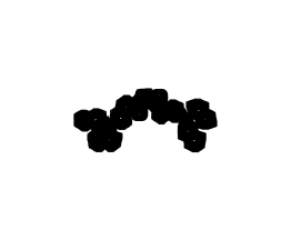 c1ccc2cc(N(c3ccc4c(ccc5c6ccc7oc8c9ccc(N(c%10ccc%11ccccc%11c%10)c%10cccc%11ccccc%10%11)cc9ccc8c7c6oc45)c3)c3cccc4ccccc34)ccc2c1